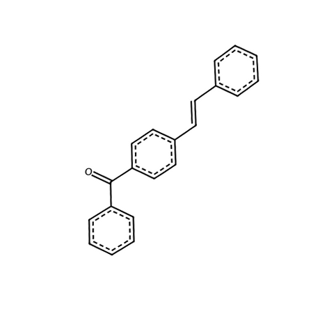 O=C(c1ccccc1)c1ccc(/C=C/c2ccccc2)cc1